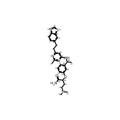 Cc1nc(CCc2ccc3ncsc3c2)cc(NC(C)c2cccc(OC(CCN(C)C)C(N)=O)c2)n1